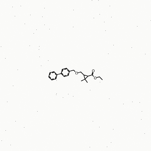 CCOC(=O)C1C(COCc2ccc(-c3ccccc3)cc2)C1(C)C